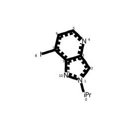 CC(C)n1cc2nccc(I)c2n1